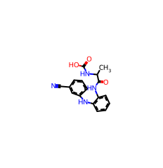 CC(NC(=O)O)C(=O)Nc1ccccc1Nc1cccc(C#N)c1